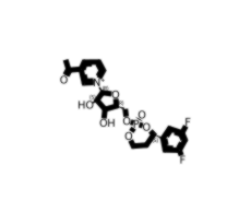 CC(=O)c1ccc[n+]([C@@H]2O[C@H](COP3(=O)OCC[C@@H](c4cc(F)cc(F)c4)O3)C(O)[C@@H]2O)c1